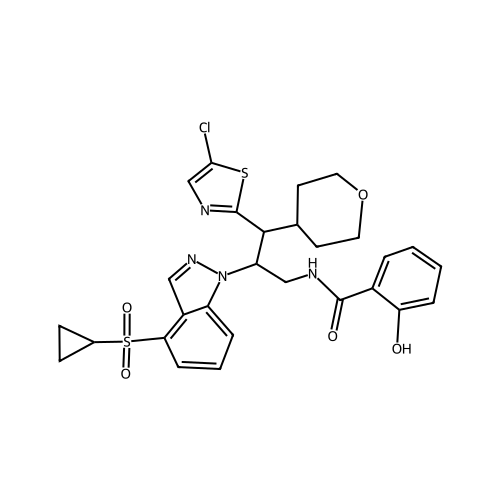 O=C(NCC(C(c1ncc(Cl)s1)C1CCOCC1)n1ncc2c(S(=O)(=O)C3CC3)cccc21)c1ccccc1O